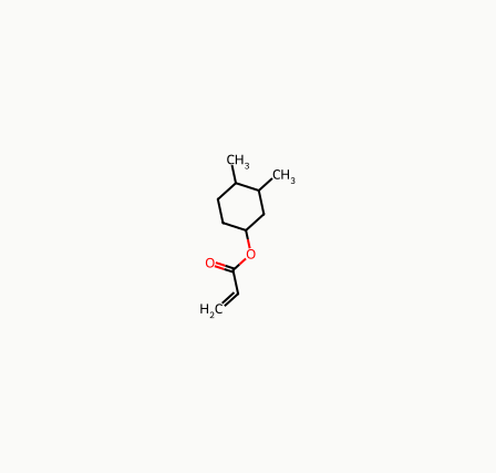 C=CC(=O)OC1CCC(C)C(C)C1